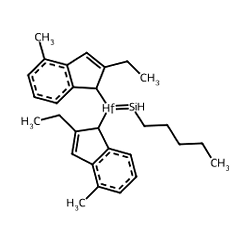 CCCCC[SiH]=[Hf]([CH]1C(CC)=Cc2c(C)cccc21)[CH]1C(CC)=Cc2c(C)cccc21